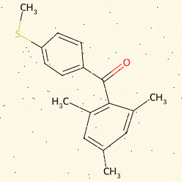 CSc1ccc(C(=O)c2c(C)cc(C)cc2C)cc1